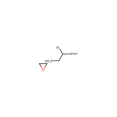 C1CO1.CCCCCC(CC)CS(=O)(=O)O